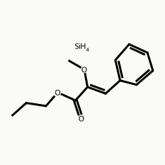 CCCOC(=O)C(=Cc1ccccc1)OC.[SiH4]